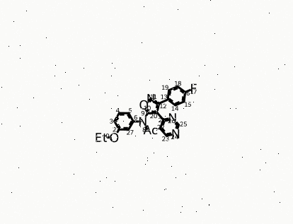 CCOc1cccc(N(C(C)=O)c2onc(-c3ccc(F)cc3)c2-c2ccncn2)c1